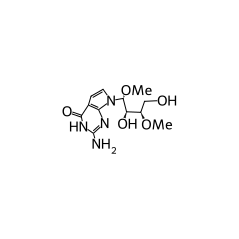 CO[C@H]([C@H](O)[C@@H](CO)OC)n1ccc2c(=O)[nH]c(N)nc21